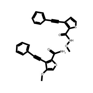 CONC(=O)c1sccc1C#Cc1ccccc1.COc1csc(C(N)=O)c1C#Cc1ccccc1